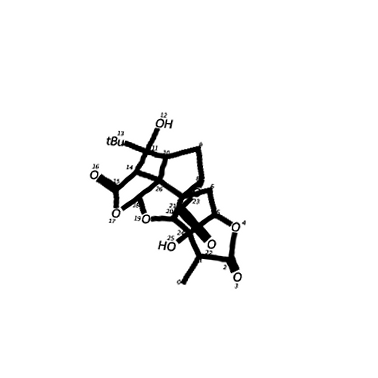 CC1C(=O)OC2CC34C5CC6C(O)(C(C)(C)C)C7C(=O)OC(OC3(C(=O)O5)C21O)C674